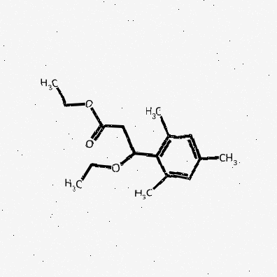 CCOC(=O)CC(OCC)c1c(C)cc(C)cc1C